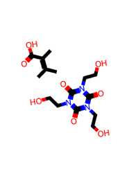 CC(C)=C(C)C(=O)O.O=c1n(CCO)c(=O)n(CCO)c(=O)n1CCO